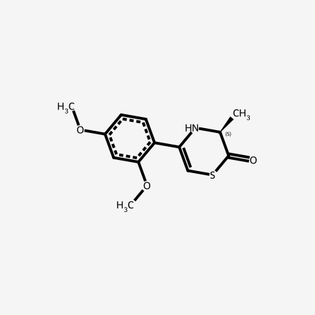 COc1ccc(C2=CSC(=O)[C@H](C)N2)c(OC)c1